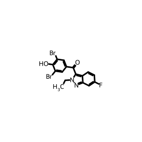 CCn1nc2cc(F)ccc2c1C(=O)c1cc(Br)c(O)c(Br)c1